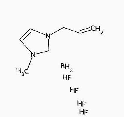 B.C=CCN1C=CN(C)C1.F.F.F.F